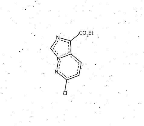 CCOC(=O)c1ncn2nc(Cl)ccc12